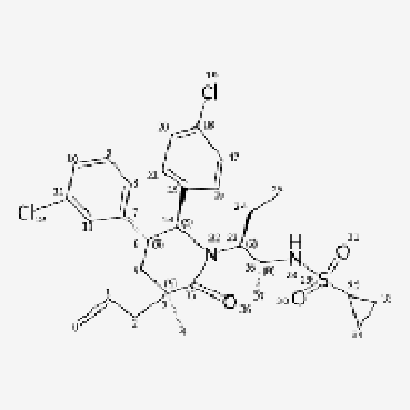 C=CC[C@@]1(C)C[C@H](c2cccc(Cl)c2)[C@@H](c2ccc(Cl)cc2)N([C@@H](CC)[C@@H](C)NS(=O)(=O)C2CC2)C1=O